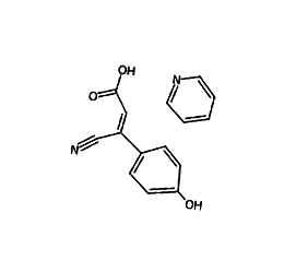 N#CC(=CC(=O)O)c1ccc(O)cc1.c1ccncc1